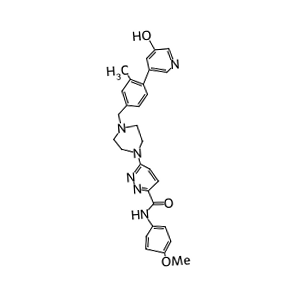 COc1ccc(NC(=O)c2ccc(N3CCN(Cc4ccc(-c5cncc(O)c5)c(C)c4)CC3)nn2)cc1